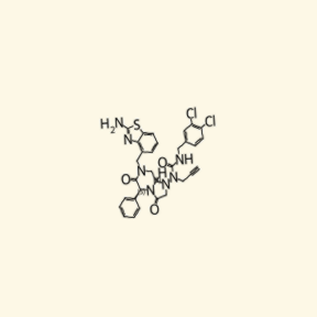 C#CCN(C(=O)NCc1ccc(Cl)c(Cl)c1)N1CC(=O)N2[C@@H](c3ccccc3)C(=O)N(Cc3cccc4sc(N)nc34)C[C@@H]21